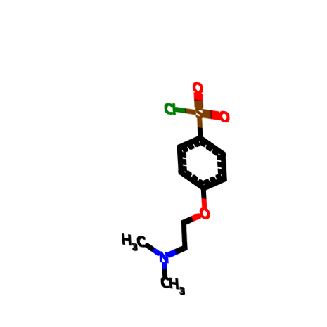 CN(C)CCOc1ccc(S(=O)(=O)Cl)cc1